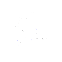 CCc1csc2c(N(C)C)nc(NC)nc12